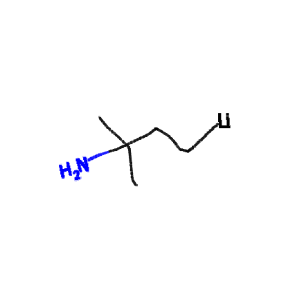 [Li][CH2]CC(C)(C)N